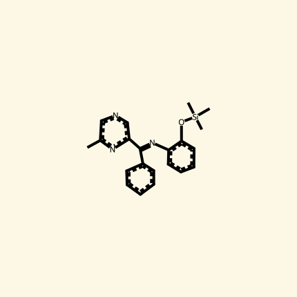 Cc1cncc(C(=Nc2ccccc2O[Si](C)(C)C)c2ccccc2)n1